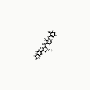 O=C(O)C[C@H](NC(=O)Nc1cccn(Cc2ccccc2Cl)c1=O)c1ccc2c(c1)CCC2